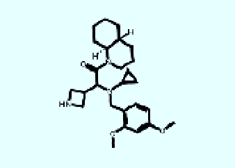 COc1ccc(CN(C2CC2)C(C(=O)N2CCC[C@H]3CCCC[C@@H]32)C2CNC2)c(OC)c1